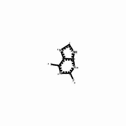 Fc1nc(I)c2nc[nH]c2n1